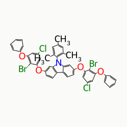 Cc1cc(C)c(-n2c3cc(Oc4cc(Cl)cc(Oc5ccccc5)c4Br)ccc3c3ccc(Oc4cc(Cl)cc(Oc5ccccc5)c4Br)cc32)c(C)c1